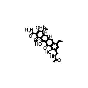 CCc1cc(CNC(C)=O)c(O)c2c1C[C@@H]1C[C@@H]3C(N(C)C)C(O)=C(C(N)=O)C(=O)[C@@]3(O)C(O)=C1C2=O